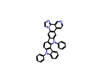 c1ccc(-n2c3ccccc3c3c2ccc2c4cc5c(cc4n(-c4ccccc4)c23)c2ccncc2c2nccn52)cc1